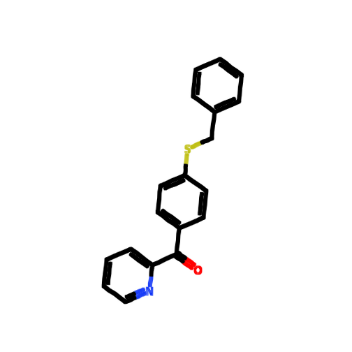 O=C(c1ccc(SCc2ccccc2)cc1)c1ccccn1